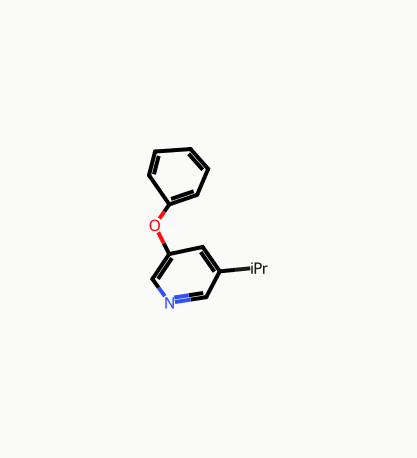 CC(C)c1cncc(Oc2ccccc2)c1